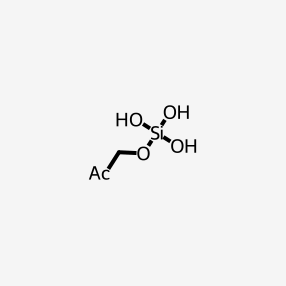 CC(=O)CO[Si](O)(O)O